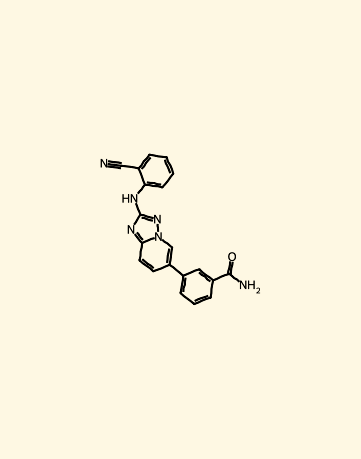 N#Cc1ccccc1Nc1nc2ccc(-c3cccc(C(N)=O)c3)cn2n1